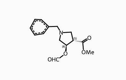 COC(=O)[C@H]1CN(Cc2ccccc2)C[C@@H]1OC=O